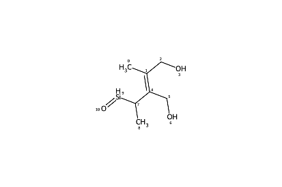 CC(CO)=C(CO)C(C)[SiH]=O